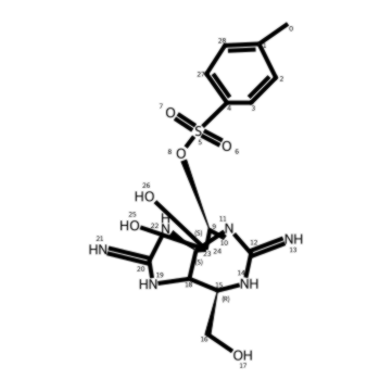 Cc1ccc(S(=O)(=O)O[C@H]2CN3C(=N)N[C@@H](CO)C4NC(=N)N[C@@]43C2(O)O)cc1